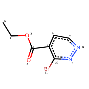 CCOC(=O)c1ccnnc1Br